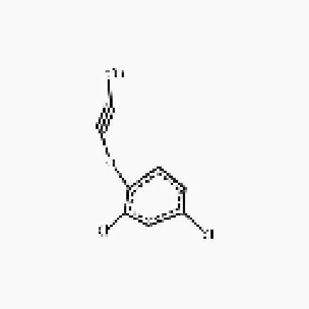 CC(C)(C)C#COc1ccc(Cl)cc1Cl